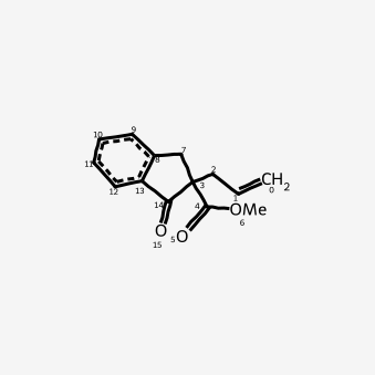 C=CCC1(C(=O)OC)Cc2ccccc2C1=O